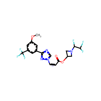 COc1cc(-c2ncn(/C=C\C(=O)OC3CN(C(F)C(F)F)C3)n2)cc(C(F)(F)F)c1